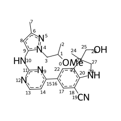 COC(C)Cn1nc(C)cc1Nc1nccc(-c2cc(C#N)c3c(c2)C(C)(CO)CN3)n1